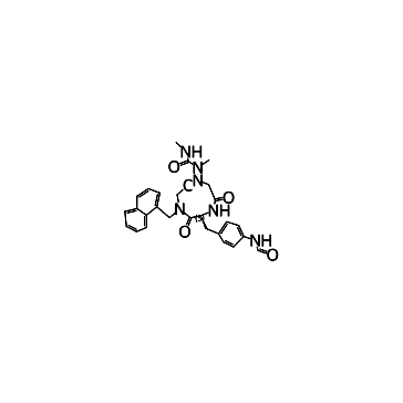 CNC(=O)N(C)N1CCN(Cc2cccc3ccccc23)C(=O)[C@H](Cc2ccc(NC=O)cc2)NC(=O)C1